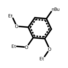 [CH2]CCCc1cc(OCC)c(OCC)c(OCC)c1